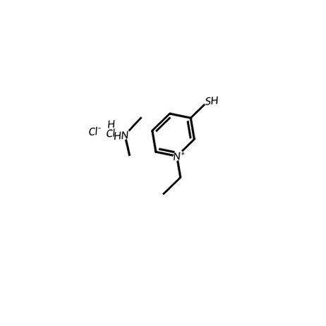 CC[n+]1cccc(S)c1.CNC.Cl.[Cl-]